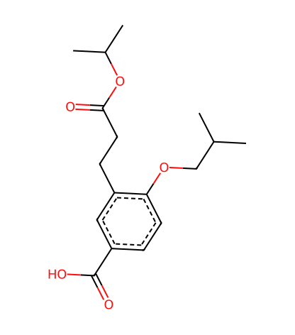 CC(C)COc1ccc(C(=O)O)cc1CCC(=O)OC(C)C